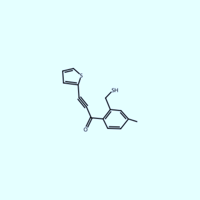 Cc1ccc(C(=O)C#Cc2cccs2)c(CS)c1